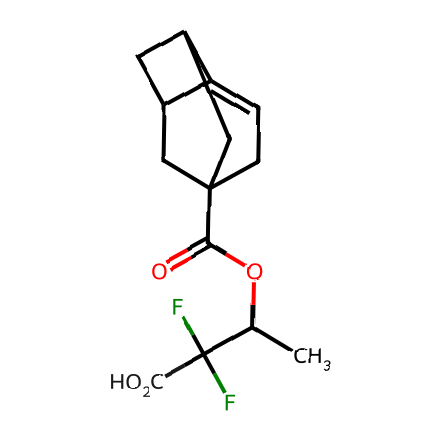 CC(OC(=O)C12CC=C3C(CC3C1)C2)C(F)(F)C(=O)O